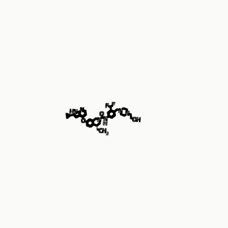 CC[C@H]1CN(C(=O)Nc2ccc(CN3CCN(CCO)CC3)c(C(F)F)c2)Cc2cc(Oc3ccnc4[nH]c(C5CC5)cc34)ccc21